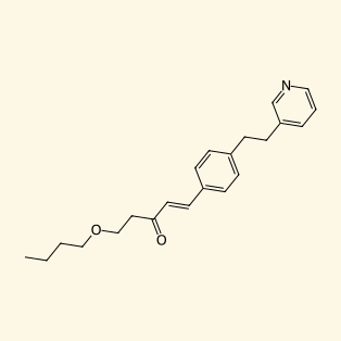 CCCCOCCC(=O)C=Cc1ccc(CCc2cccnc2)cc1